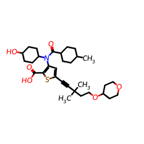 CC1CCC(C(=O)N(c2cc(C#CC(C)(C)CCOC3CCOCC3)sc2C(=O)O)C2CCC(O)CC2)CC1